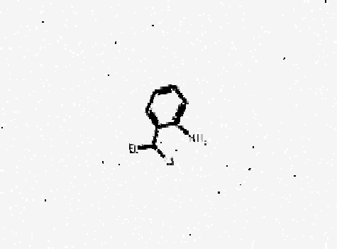 CCC(Cl)c1ccccc1N